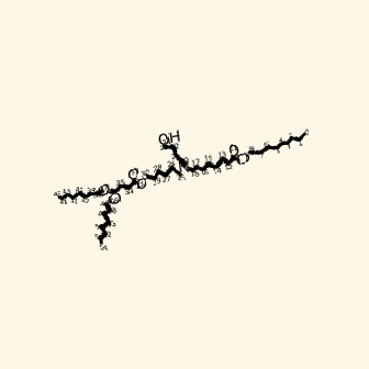 CCCCCCCCCOC(=O)CCCCCCCN(CCCCO)CCCCCCOC(=O)CCC(OCCCCCCCC)OCCCCCCCC